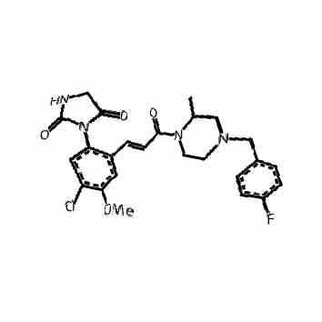 COc1cc(C=CC(=O)N2CCN(Cc3ccc(F)cc3)CC2C)c(N2C(=O)CNC2=O)cc1Cl